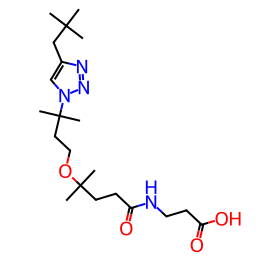 CC(C)(C)Cc1cn(C(C)(C)CCOC(C)(C)CCC(=O)NCCC(=O)O)nn1